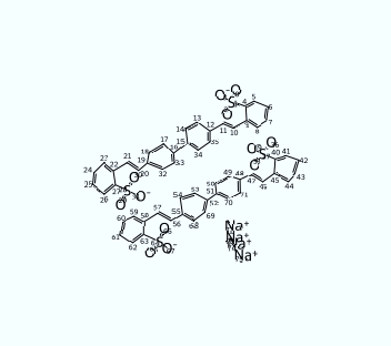 O=S(=O)([O-])c1ccccc1C=Cc1ccc(-c2ccc(C=Cc3ccccc3S(=O)(=O)[O-])cc2)cc1.O=S(=O)([O-])c1ccccc1C=Cc1ccc(-c2ccc(C=Cc3ccccc3S(=O)(=O)[O-])cc2)cc1.[Na+].[Na+].[Na+].[Na+]